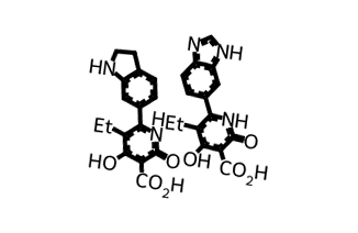 CCc1c(-c2ccc3c(c2)NCC3)[nH]c(=O)c(C(=O)O)c1O.CCc1c(-c2ccc3nc[nH]c3c2)[nH]c(=O)c(C(=O)O)c1O